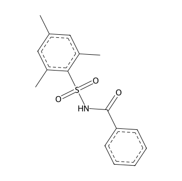 Cc1cc(C)c(S(=O)(=O)NC(=O)c2ccccc2)c(C)c1